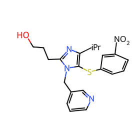 CC(C)c1nc(CCCO)n(Cc2cccnc2)c1Sc1cccc([N+](=O)[O-])c1